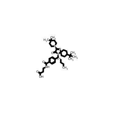 CCCC[C@H](c1ccc(C(=O)NCCC(=O)O)cc1)N1C(=O)C(N2CCC(C)(C)CC2)=NC12CCC(C(C)(C)C)CC2